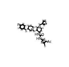 CC(=O)c1sc(NC(=O)N[C@@H]2CCN(Cc3ccsc3)C[C@H]2CN2CCC[C@@H](Cc3ccc(F)cc3)C2)nc1C